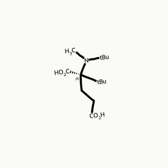 CN(C(C)(C)C)[C@@](CCC(=O)O)(C(=O)O)C(C)(C)C